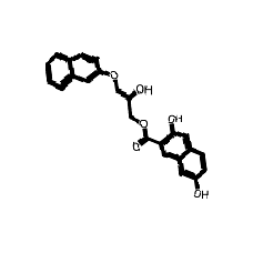 O=C(OCC(O)COc1ccc2ccccc2c1)c1cc2cc(O)ccc2cc1O